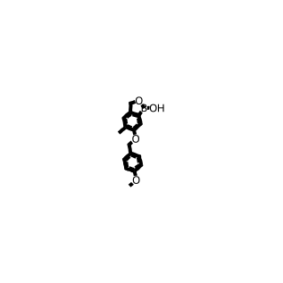 COc1ccc(COc2cc3c(cc2C)COB3O)cc1